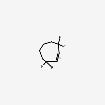 FC1(F)/C=C\C(F)(F)CCCC1